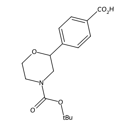 CC(C)(C)OC(=O)N1CCOC(c2ccc(C(=O)O)cc2)C1